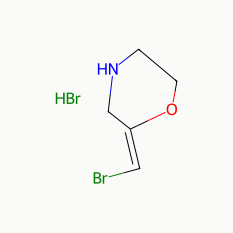 Br.BrC=C1CNCCO1